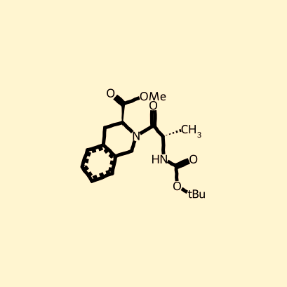 COC(=O)[C@@H]1Cc2ccccc2CN1C(=O)[C@H](C)NC(=O)OC(C)(C)C